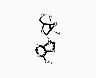 Nc1ncnc2c1ncn2[C@@H]1OC(CO)[C@@H]2O[C@@H]12